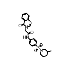 CC1CCCN(S(=O)(=O)c2ccc(NC(=O)Cn3cnc4ccccc4c3=O)cc2)C1